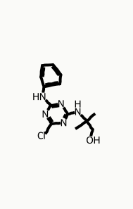 CC(C)(CO)Nc1nc(Cl)nc(Nc2ccccc2)n1